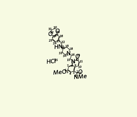 CNC(=O)c1cc(OC)cc2c1ccc(=O)n2CCN1CCC(NCc2ccc3c(c2)OCCO3)CC1.Cl